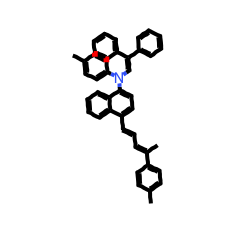 C/C(=C\C=C\c1ccc(N(C=C(c2ccccc2)c2ccccc2)c2ccc(C)cc2)c2ccccc12)c1ccc(C)cc1